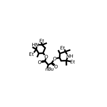 CCCCC(C(=O)OC1CC(C)(CC)NC(C)(CC)C1C)C(=O)OC1CC(C)(CC)NC(C)(CC)C1C